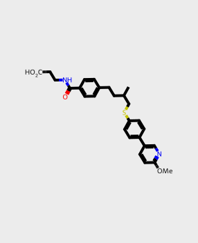 COc1ccc(-c2ccc(SCC(C)CCc3ccc(C(=O)NCCC(=O)O)cc3)cc2)cn1